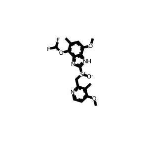 COc1ccnc(C[S+]([O-])c2nc3c(OC(F)F)c(C)cc(OC)c3[nH]2)c1C